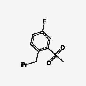 CC(C)Cc1ccc(F)cc1S(C)(=O)=O